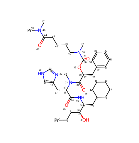 CC(C)CC[C@H](O)[C@H](CC1CCCCC1)NC(=O)[C@H](Cc1c[nH]cn1)N(C)C(=O)[C@H](Cc1ccccc1)OC(=O)N(C)CCCCC(=O)N(C)C(C)C